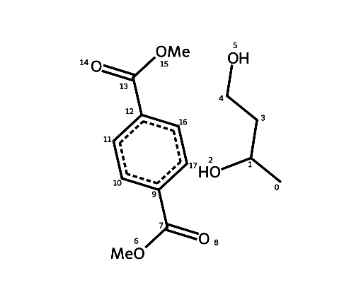 CC(O)CCO.COC(=O)c1ccc(C(=O)OC)cc1